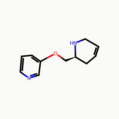 C1=CC[C@@H](COc2cccnc2)NC1